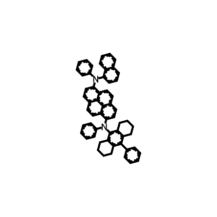 c1ccc(-c2c3c(c(N(c4ccccc4)c4ccc5ccc6c(N(c7ccccc7)c7cccc8ccccc78)ccc7ccc4c5c76)c4c2CCCC4)CCCC3)cc1